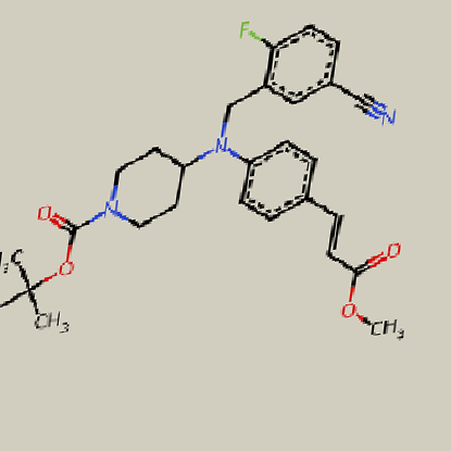 COC(=O)C=Cc1ccc(N(Cc2cc(C#N)ccc2F)C2CCN(C(=O)OC(C)(C)C)CC2)cc1